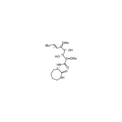 CO[C@H](/C=C/C(C)(C)C)[C@H](O)[C@@H](O)[C@@H](OC)C(=O)N[C@H]1CCCCNC1=O